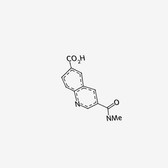 CNC(=O)c1cnc2ccc(C(=O)O)cc2c1